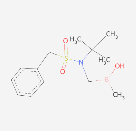 CB(O)CN(C(C)(C)C)S(=O)(=O)Cc1ccccc1